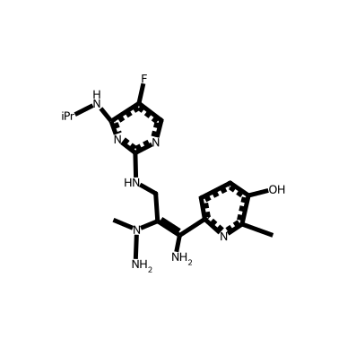 Cc1nc(/C(N)=C(\CNc2ncc(F)c(NC(C)C)n2)N(C)N)ccc1O